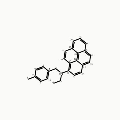 CCN(Cc1ccc(C)cc1)c1ccc2ccc3cccc4ccc1c2c34